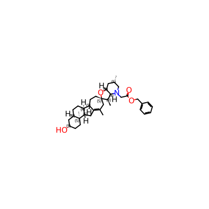 CC1=C2C[C@H]3[C@@H](CC[C@@H]4C[C@@H](O)CC[C@@]43C)[C@@H]2CC[C@@]2(C1)O[C@@H]1C[C@H](C)CN(CC(=O)OCc3ccccc3)[C@H]1[C@H]2C